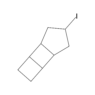 IC1CC2C3CCC3C2C1